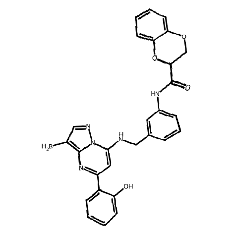 Bc1cnn2c(NCc3cccc(NC(=O)C4COc5ccccc5O4)c3)cc(-c3ccccc3O)nc12